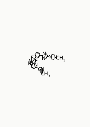 CN1CCN(c2cnc(-c3cccc(C(F)(F)c4nnc5ccc(-c6cnn(C)c6)nn45)c3)nc2)CC1